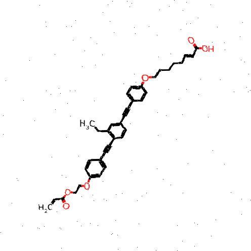 C=CC(=O)OCCOc1ccc(C#Cc2ccc(C#Cc3ccc(OCCCCCC=CC(=O)O)cc3)cc2CC)cc1